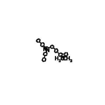 CC1(C)c2ccccc2-c2cc(-c3ccc(-c4cccc(-c5cc(-c6ccc(-c7ccccc7)cc6)nc(-c6ccc(-c7ccccc7)cc6)n5)c4)cc3)ccc21